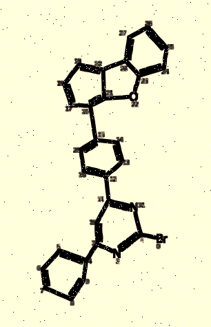 Brc1nc(-c2ccccc2)cc(-c2ccc(-c3cccc4c3oc3ccccc34)cc2)n1